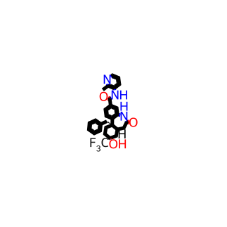 Cc1ncccc1NC(=O)c1ccc2c(c1)NC(=O)C[C@@H]1C[C@@](O)(C(F)(F)F)CC[C@@]21Cc1ccccc1